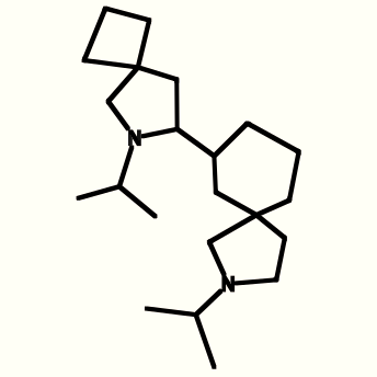 CC(C)N1CCC2(CCCC(C3CC4(CCC4)CN3C(C)C)C2)C1